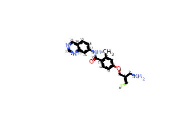 Cc1cc(OC/C(=C\F)CN)ccc1C(=O)Nc1ccc2cncnc2c1